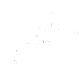 CC(=O)C(C)NC(=O)C(CCC(=O)O)NC(=O)CCCC[C@@H]1CCSS1